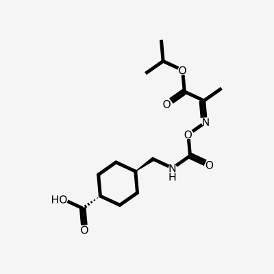 CC(=NOC(=O)NC[C@H]1CC[C@H](C(=O)O)CC1)C(=O)OC(C)C